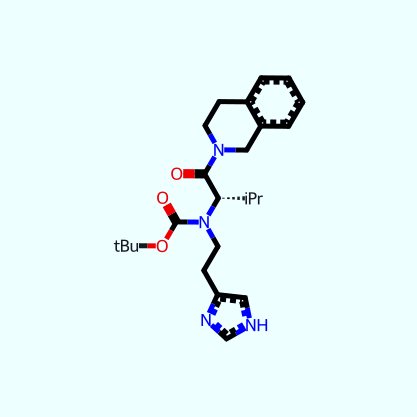 CC(C)[C@@H](C(=O)N1CCc2ccccc2C1)N(CCc1c[nH]cn1)C(=O)OC(C)(C)C